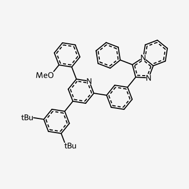 COc1ccccc1-c1cc(-c2cc(C(C)(C)C)cc(C(C)(C)C)c2)cc(-c2cccc(-c3nc4ccccn4c3-c3ccccc3)c2)n1